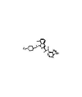 CC(=O)N1CCC(COc2nc(C(C)Nc3ncnc4[nH]cnc34)cc3cccc(C)c23)CC1